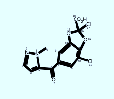 Cn1nccc1C(=O)c1cc(Cl)c2c(c1)OC(Cl)(C(=O)O)O2